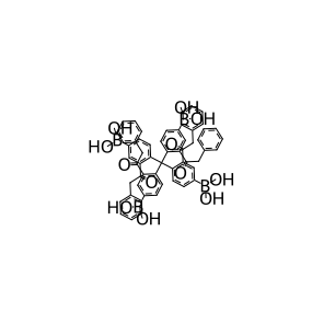 O=C(Cc1ccccc1)c1cc(B(O)O)ccc1C(c1ccc(B(O)O)cc1C(=O)Cc1ccccc1)(c1ccc(B(O)O)cc1C(=O)Cc1ccccc1)c1ccc(B(O)O)cc1C(=O)Cc1ccccc1